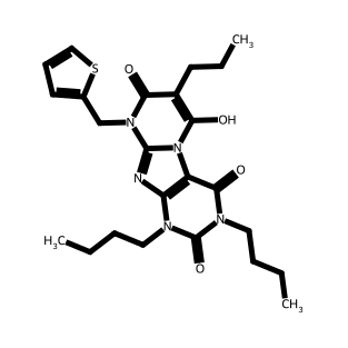 CCCCn1c(=O)c2c(nc3n(Cc4cccs4)c(=O)c(CCC)c(O)n23)n(CCCC)c1=O